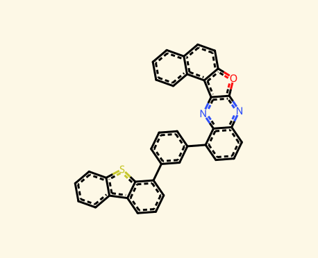 c1cc(-c2cccc3nc4oc5ccc6ccccc6c5c4nc23)cc(-c2cccc3c2sc2ccccc23)c1